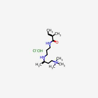 C=C(CC[N+](C)(C)C)NCCCNC(=O)C(C)=CC.Cl.[Cl-]